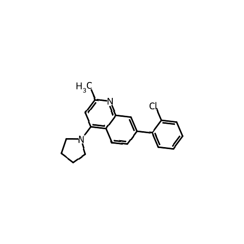 Cc1cc(N2CCCC2)c2ccc(-c3ccccc3Cl)cc2n1